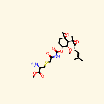 COC(=O)[C@@H](N)CSCC(=O)NC(=O)O[C@@H]1CC[C@]2(CO2)[C@@H](C2(C)O[C@@H]2CC=C(C)C)[C@@H]1OC